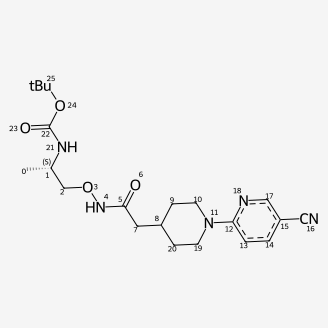 C[C@@H](CONC(=O)CC1CCN(c2ccc(C#N)cn2)CC1)NC(=O)OC(C)(C)C